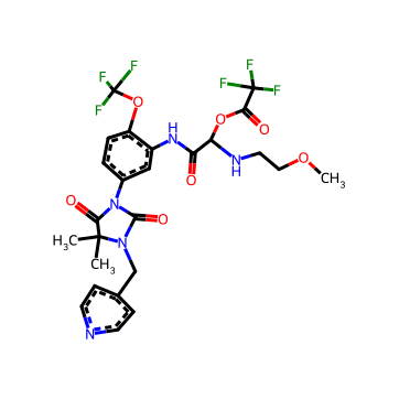 COCCNC(OC(=O)C(F)(F)F)C(=O)Nc1cc(N2C(=O)N(Cc3ccncc3)C(C)(C)C2=O)ccc1OC(F)(F)F